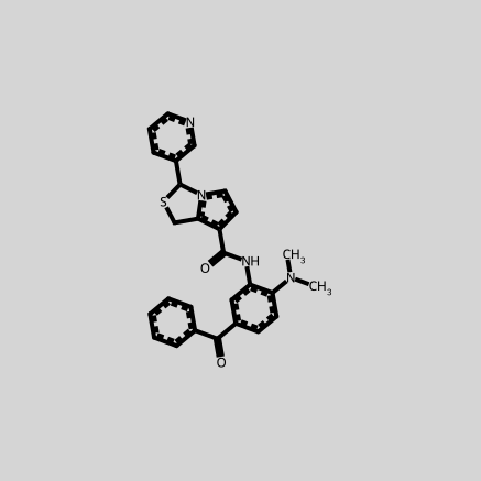 CN(C)c1ccc(C(=O)c2ccccc2)cc1NC(=O)c1ccn2c1CSC2c1cccnc1